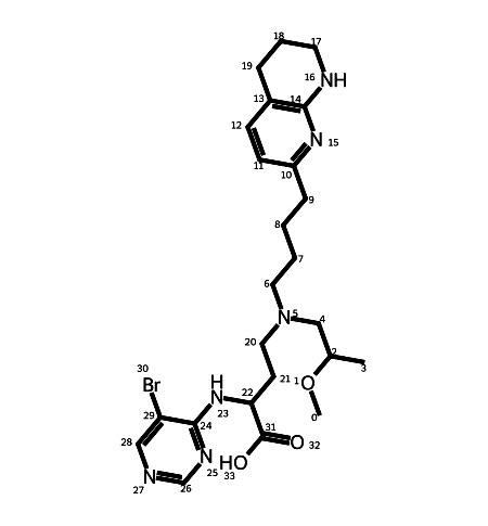 COC(C)CN(CCCCc1ccc2c(n1)NCCC2)CCC(Nc1ncncc1Br)C(=O)O